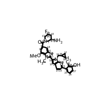 COc1cc(C(=O)N2C[C@H](N)C[C@@H](F)C2)cc2nc(-c3cc4ccc(-c5cccc(O)c5C)nc4n3CC3CC3)n(C)c12